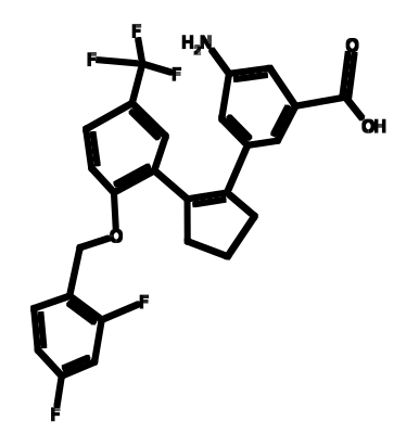 Nc1cc(C(=O)O)cc(C2=C(c3cc(C(F)(F)F)ccc3OCc3ccc(F)cc3F)CCC2)c1